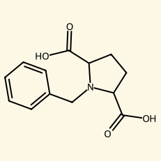 O=C(O)C1CCC(C(=O)O)N1Cc1ccccc1